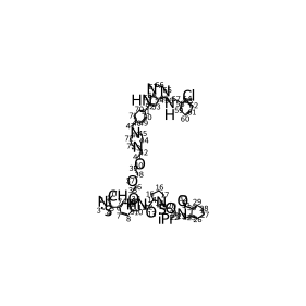 Cc1ncsc1-c1ccc(CNC(=O)C2CCCN2SOC(C(C)C)N2Cc3ccccc3C2=O)c(OCCOCCOCCN2CCN(Cc3ccc(-c4cc5c(NCc6ccccc6Cl)ncnc5[nH]4)cc3)CC2)c1